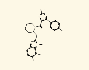 Cc1nc(C(=O)N2CCCCC2Cc2nc3ccc(F)c(F)c3n2C)c(-c2ccc(F)cc2)s1